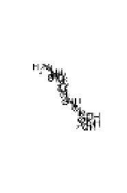 C[C@@H]1O[C@@H](OCCOCCNC(=O)COc2ccc(-c3cccc(C(=O)NCCN)c3)cc2)[C@H](O)[C@H](O)[C@H]1O